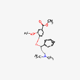 COC(=O)c1ccc(OC(CCN(C)C)c2ccccc2)c(OC)c1